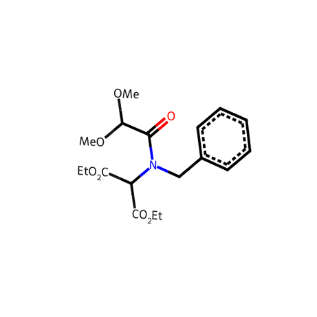 CCOC(=O)C(C(=O)OCC)N(Cc1ccccc1)C(=O)C(OC)OC